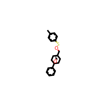 Cc1ccc(SOCC23CCC(c4ccccc4)(CC2)OC3)cc1